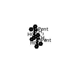 CCCCCC(C)C(CCC(O)N(c1ccccc1)c1ccccc1)c1c2ccccc2c(C(O)CCC(C(C)CCCCC)N(c2ccccc2)c2ccccc2)c2cc3ccccc3cc12